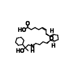 CC(O)(CNCCCC[C@H]1[C@@H](C/C=C\CCCC(=O)O)[C@H]2CC[C@@H]1O2)C1CCCCC1